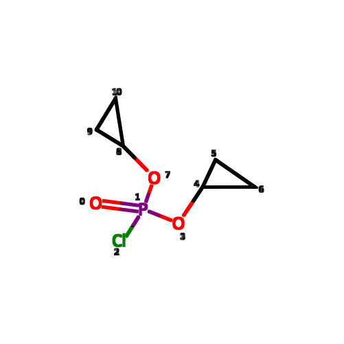 O=P(Cl)(OC1CC1)OC1CC1